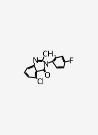 Cc1nc2cccc(Cl)c2c(=O)n1-c1ccc(F)cc1